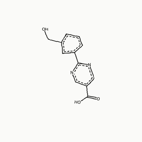 O=C(O)c1cnc(-c2cccc(CO)c2)nc1